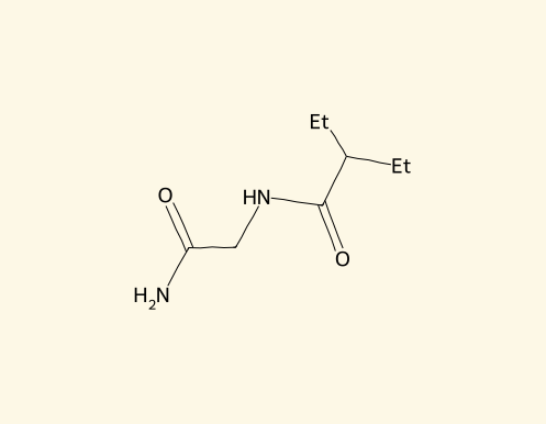 CCC(CC)C(=O)NCC(N)=O